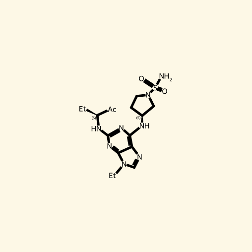 CC[C@H](Nc1nc(N[C@H]2CCN(S(N)(=O)=O)C2)c2ncn(CC)c2n1)C(C)=O